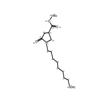 CCCCCCCCCCCCCCCCCCN1CC(C(=O)OCCCC)CC1=O